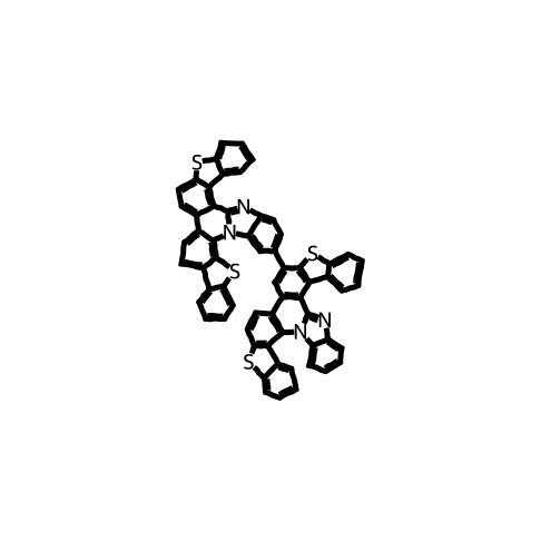 c1ccc2c(c1)nc1c3c(cc(-c4ccc5nc6c7c(ccc8sc9ccccc9c87)c7ccc8c9ccccc9sc8c7n6c5c4)c4sc5ccccc5c43)c3ccc4sc5ccccc5c4c3n21